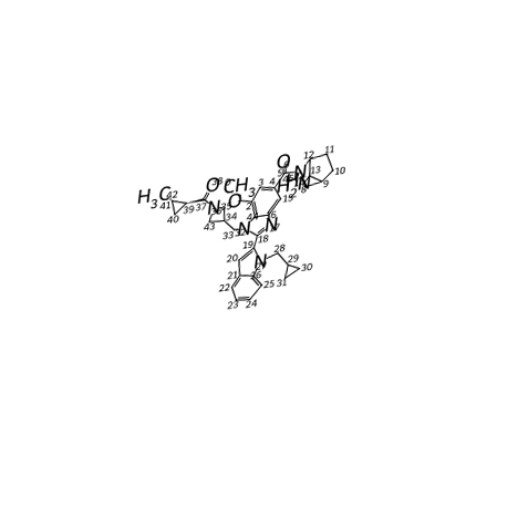 COc1cc(C(=O)N2CC3CCC2[C@@H]3N)cc2nc(-c3cc4ccccc4n3CC3CC3)n(CC3CN(C(=O)[C@H]4C[C@@H]4C)C3)c12